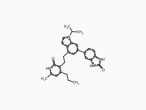 CCCc1cc(C)[nH]c(=O)c1CCc1cc(-c2ccc3[nH]c(=O)[nH]c3c2)cc2c1ccn2C(C)C